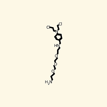 NCCCOCCOCCOCCCNCc1ccc(N(CCCl)CCCl)cc1